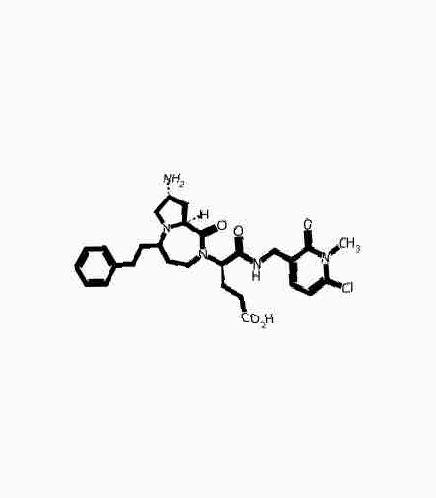 Cn1c(Cl)ccc(CNC(=O)[C@@H](CCC(=O)O)N2CCC(CCc3ccccc3)N3C[C@H](N)C[C@H]3C2=O)c1=O